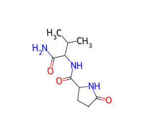 CC(C)C(NC(=O)C1CCC(=O)N1)C(N)=O